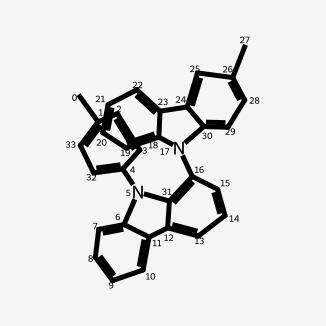 Cc1ccc(-n2c3ccccc3c3cccc(-n4c5ccccc5c5cc(C)ccc54)c32)cc1